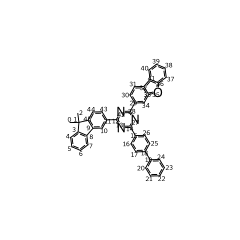 CC1(C)c2ccccc2-c2cc(-c3nc(-c4ccc(-c5ccccc5)cc4)nc(-c4ccc5c(c4)oc4ccccc45)n3)ccc21